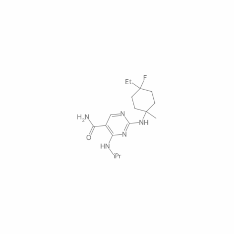 CCC1(F)CCC(C)(Nc2ncc(C(N)=O)c(NC(C)C)n2)CC1